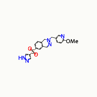 COc1ccc(CN2Cc3ccc(S(=O)(=O)c4cn[nH]c4)cc3C=N2)cn1